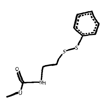 COC(=O)NCCSSc1ccccc1